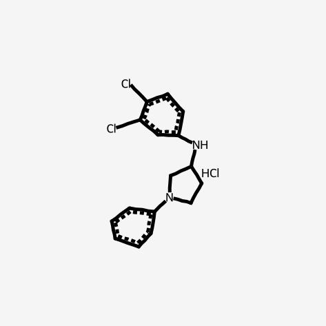 Cl.Clc1ccc(NC2CCN(c3ccccc3)C2)cc1Cl